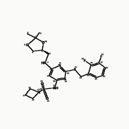 CC1(C)OC[C@H](CNc2cc(NS(=O)(=O)N3CCC3)nc(SCc3cccc(F)c3F)n2)O1